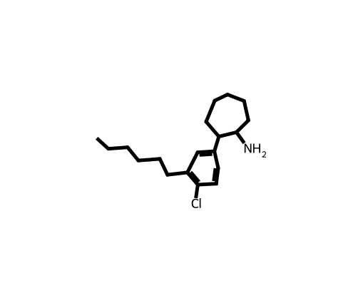 CCCCCCc1cc(C2CCCCCC2N)ccc1Cl